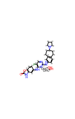 O=CO.O=CO.O=c1[nH]c2cc(Nc3nc(Nc4ccc5c(c4)CCC(N4CCCC4)CC5)ncc3F)ccc2o1